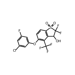 O=S1(=O)c2ccc(Oc3cc(F)cc(Cl)c3)c(C(F)(F)F)c2C(O)C1(F)F